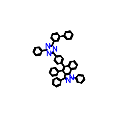 c1ccc(-c2cccc(-c3nc(-c4ccccc4)nc(-c4ccc(-c5c(-c6ccccc6)c6c(-c7ccccc7)nn(-c7ccccc7)c6c6ccccc56)cc4)n3)c2)cc1